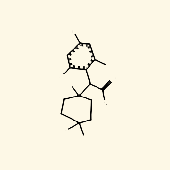 Cc1cc(Br)cc(C)c1C(C(N)=O)C1(C)CCC(F)(F)CC1